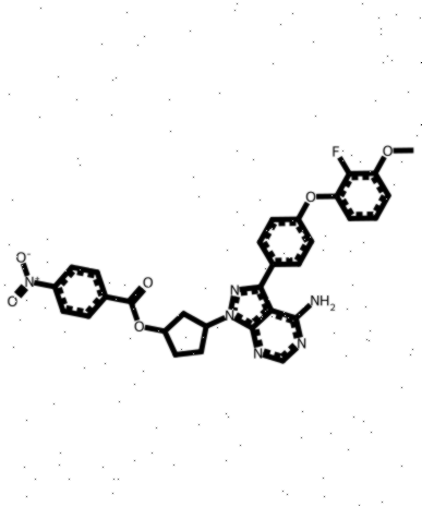 COc1cccc(Oc2ccc(-c3nn(C4CCC(OC(=O)c5ccc([N+](=O)[O-])cc5)C4)c4ncnc(N)c34)cc2)c1F